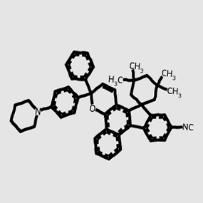 [C-]#[N+]c1ccc2c(c1)C1(CC(C)(C)CC(C)(C)C1)c1c3c(c4ccccc4c1-2)OC(c1ccccc1)(c1ccc(N2CCCCC2)cc1)C=C3